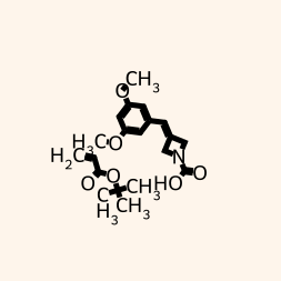 C=CC(=O)OC(C)(C)C.COc1cc(C=C2CN(C(=O)O)C2)cc(OC)c1